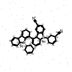 N#Cc1ccc2c(c1)C1C(C3=C4C(=CCC3)C3C=CC=C[C@@H]3N4[C@H]3CC=CCC3)=CC=C[C@@H]1N2C1CC=CC(C#N)C1